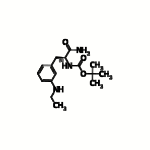 CCNc1cccc(C[C@H](NC(=O)OC(C)(C)C)C(N)=O)c1